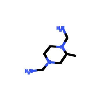 CC1CN(CN)CCN1CN